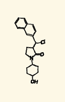 O=C1C(C(Cl)c2ccc3ccccc3c2)CCN1C1CCC(O)CC1